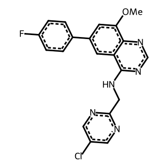 COc1cc(-c2ccc(F)cc2)cc2c(NCc3ncc(Cl)cn3)ncnc12